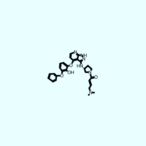 CN(C)C/C=C/C(=O)N1CC[C@@H](Nc2n[nH]c3nccc(Oc4cccc(Oc5ccccc5)c4O)c23)C1